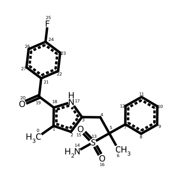 Cc1cc(CC(C)(c2ccccc2)S(N)(=O)=O)[nH]c1C(=O)c1ccc(F)cc1